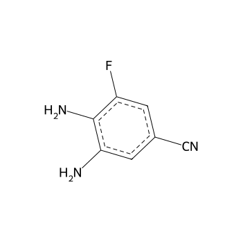 N#Cc1cc(N)c(N)c(F)c1